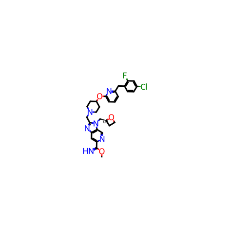 COC(=N)c1cc2nc(CN3CCC(Oc4cccc(Cc5ccc(Cl)cc5F)n4)CC3)n(C[C@@H]3CCO3)c2cn1